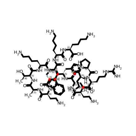 CC(C)C[C@H](NC(=O)[C@H](CCN)NC(=O)[C@H](CCCNC(=N)N)NC(=O)[C@@H]1CCCN1C(=O)[C@@H](N)CCN)C(=O)N[C@@H](Cc1c[nH]cn1)C(=O)N[C@@H](CO)C(=O)N[C@@H](CCN)C(=O)N[C@@H](C)C(=O)N[C@H](C(=O)N[C@@H](CCCCN)C(=O)N[C@@H](Cc1c[nH]c2ccccc12)C(=O)N[C@@H](CCCCN)C(=O)N[C@@H](CCCCN)C(=O)O)[C@@H](C)O